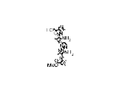 COC(=O)c1cnn(C)c1/N=N/c1c(C)nn(-c2nccc(-n3nc(C)c(/N=N/c4c(C(=O)CO)cnn4C)c3N)n2)c1N